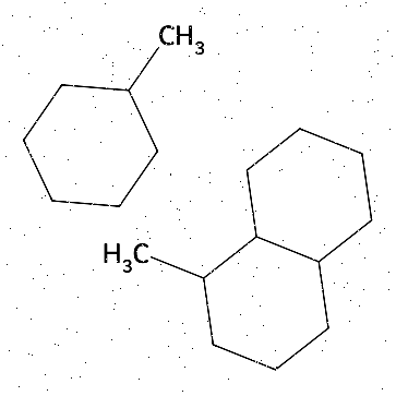 CC1CCCC2CCCCC12.CC1CCCCC1